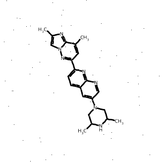 Cc1cn2nc(-c3ccc4cc(N5CC(C)NC(C)C5)cnc4n3)cc(C)c2n1